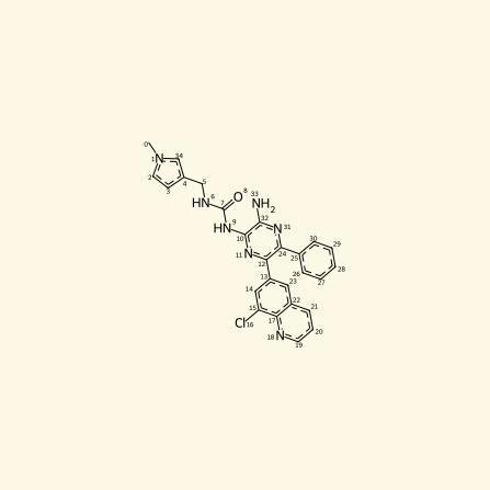 Cn1ccc(CNC(=O)Nc2nc(-c3cc(Cl)c4ncccc4c3)c(-c3ccccc3)nc2N)c1